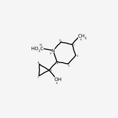 CC1CCC(C2(O)CC2)N(C(=O)O)C1